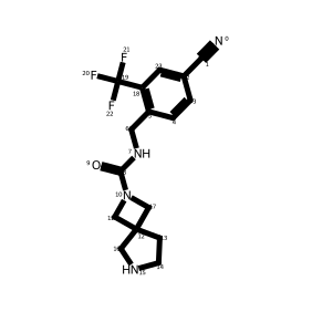 N#Cc1ccc(CNC(=O)N2CC3(CCNC3)C2)c(C(F)(F)F)c1